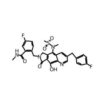 CNC(=O)c1cc(F)ccc1CN1Cc2c(c(O)c3ncc(Cc4ccc(F)cc4)cc3c2N(C)S(C)(=O)=O)C1=O